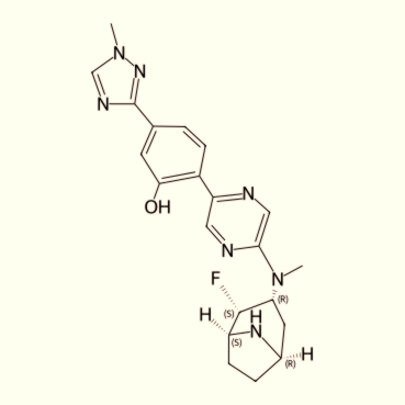 CN(c1cnc(-c2ccc(-c3ncn(C)n3)cc2O)cn1)[C@@H]1C[C@H]2CC[C@H](N2)[C@@H]1F